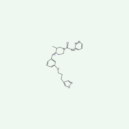 CC1CN(C(=O)Nc2cccnn2)CC/C1=C\c1cccc(OCCCc2cnoc2)c1